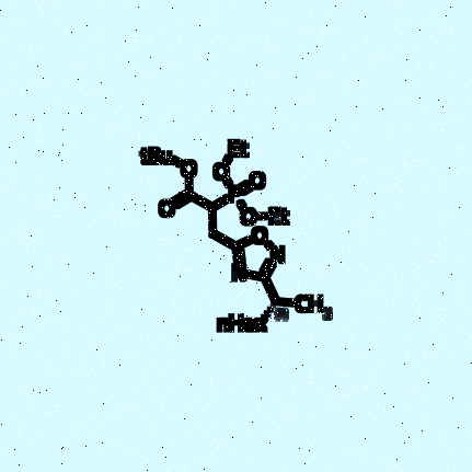 CCCCCC[C@@H](C)c1noc(CC(C(=O)OC(C)(C)C)P(=O)(OCC)OCC)n1